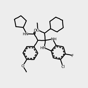 COc1ccc(C(C(=O)NC2CCCC2)C2(C(OC)C3CCCCC3)Nc3cc(F)c(Cl)cc3N2)cc1